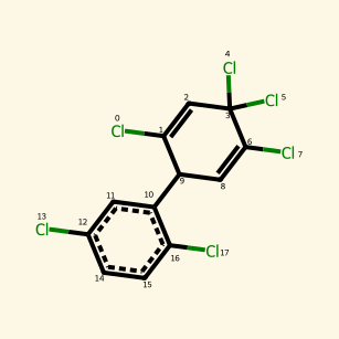 ClC1=CC(Cl)(Cl)C(Cl)=CC1c1cc(Cl)ccc1Cl